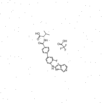 CC(C)[C@H](NC(=O)c1ccc(-c2ccc(Nc3nc4cnccc4s3)c(F)c2)cc1)C(=O)O.O=C(O)C(F)(F)F